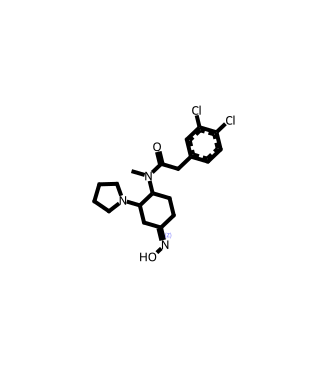 CN(C(=O)Cc1ccc(Cl)c(Cl)c1)C1CC/C(=N/O)CC1N1CCCC1